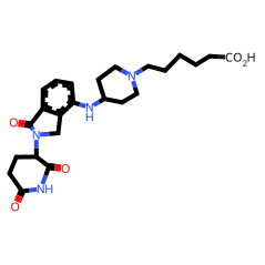 O=C(O)CCCCCN1CCC(Nc2cccc3c2CN(C2CCC(=O)NC2=O)C3=O)CC1